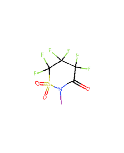 O=C1N(I)S(=O)(=O)C(F)(F)C(F)(F)C1(F)F